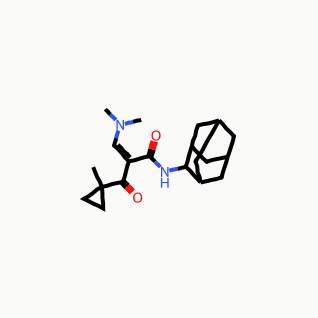 CN(C)/C=C(\C(=O)NC1C2CC3CC(C2)CC1C3)C(=O)C1(C)CC1